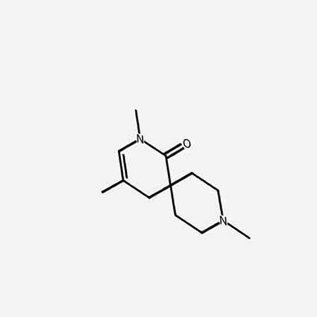 CC1=CN(C)C(=O)C2(CCN(C)CC2)C1